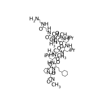 Cc1nc(C(=O)N2CCC[C@H]2C(=O)NC(CCC2CCCCC2)C(=O)NC(CC(C)C)C(=O)NC(C)(C)C(=O)NC(CC(C)C)C(=O)NC(CC(C)C)C(=O)NC(C)(C)C(=O)NC(C)(C)C(=O)NCCC(=O)NCCN)co1